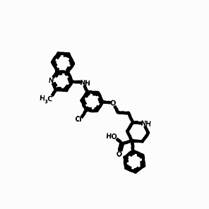 Cc1cc(Nc2cc(Cl)cc(OCCC3CC(C(=O)O)(c4ccccc4)CCN3)c2)c2ccccc2n1